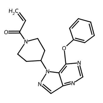 C=CC(=O)N1CCC(n2ncc3ncnc(Oc4ccccc4)c32)CC1